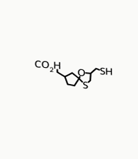 O=C(O)CC1CCC2(C1)OC(CS)CS2